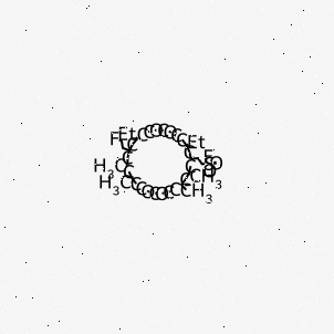 CCC1CCOCOCCC(CC)CC(CCS(=O)(=O)F)CC(C)CC(C)CCOCOCCC(C)CC(C)CC(CCF)C1